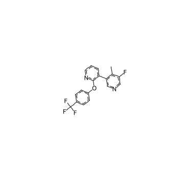 Cc1c(F)cncc1-c1cccnc1Oc1ccc(C(F)(F)F)cc1